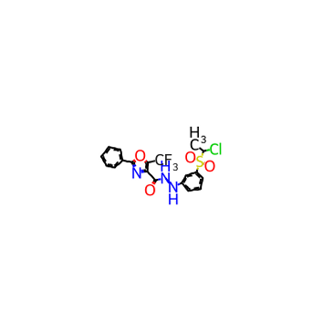 CC(Cl)S(=O)(=O)c1cccc(NNC(=O)c2nc(-c3ccccc3)oc2C(F)(F)F)c1